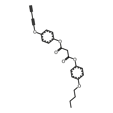 C#CC#COc1ccc(OC(=O)CC(=O)Oc2ccc(OCCCC)cc2)cc1